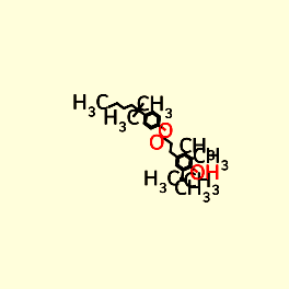 CCCCCC(C)(C)c1ccc(OC(=O)CCc2cc(C(C)(C)C)c(O)c(C)c2C)cc1